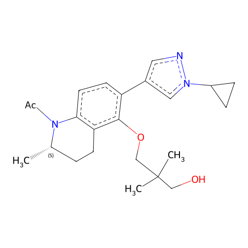 CC(=O)N1c2ccc(-c3cnn(C4CC4)c3)c(OCC(C)(C)CO)c2CC[C@@H]1C